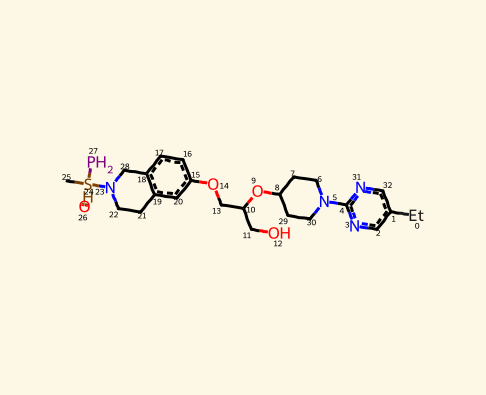 CCc1cnc(N2CCC(OC(CO)COc3ccc4c(c3)CCN([SH](C)(=O)P)C4)CC2)nc1